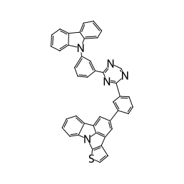 c1cc(-c2cc3c4ccccc4n4c5sccc5c(c2)c34)cc(-c2ncnc(-c3cccc(-n4c5ccccc5c5ccccc54)c3)n2)c1